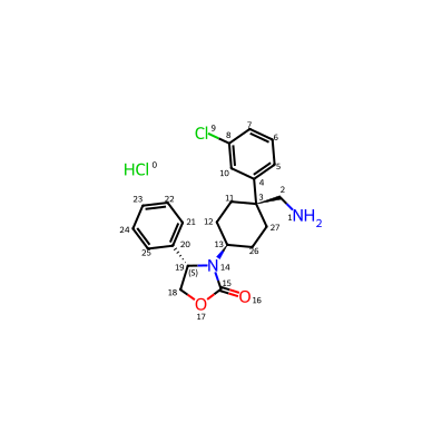 Cl.NC[C@]1(c2cccc(Cl)c2)CC[C@H](N2C(=O)OC[C@@H]2c2ccccc2)CC1